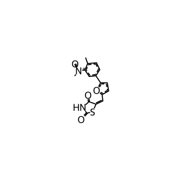 Cc1ccc(-c2ccc(C=C3SC(=O)NC3=O)o2)cc1[N+](C)=O